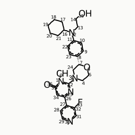 Cn1c(N2CCO[C@@H](c3ccc(N(CCO)C4CCCCC4)cc3)C2)nc(-c2ccncc2F)cc1=O